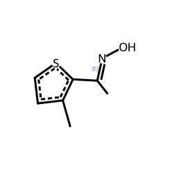 C/C(=N\O)c1sccc1C